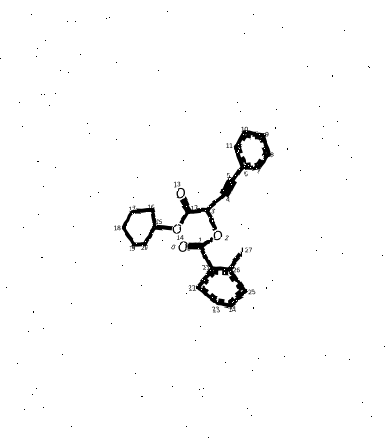 O=C(OC(C#Cc1ccccc1)C(=O)OC1CCCCC1)c1ccccc1I